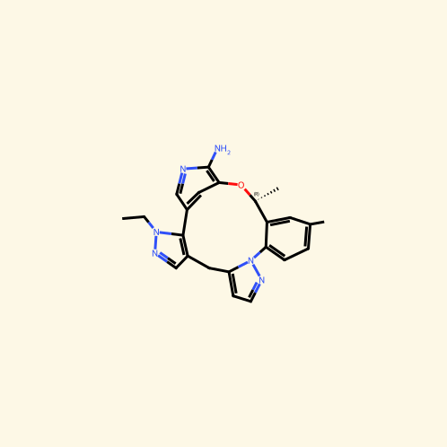 CCn1ncc2c1-c1cnc(N)c(c1)O[C@H](C)c1cc(C)ccc1-n1nccc1C2